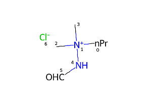 CCC[N+](C)(C)NC=O.[Cl-]